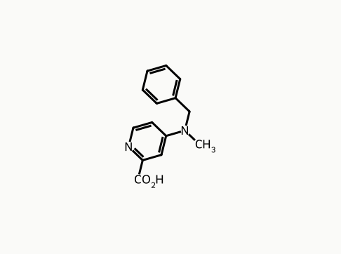 CN(Cc1ccccc1)c1ccnc(C(=O)O)c1